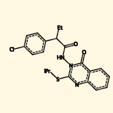 CCC(C(=O)Nn1c(SC(C)C)nc2ccccc2c1=O)c1ccc(Cl)cc1